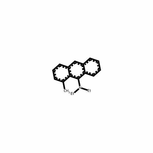 CCN(CC)c1c2ccccc2cc2cccc(C)c12